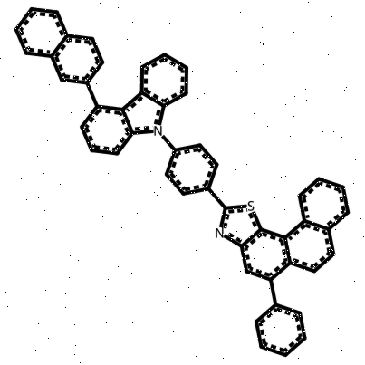 c1ccc(-c2cc3nc(-c4ccc(-n5c6ccccc6c6c(-c7ccc8ccccc8c7)cccc65)cc4)sc3c3c2ccc2ccccc23)cc1